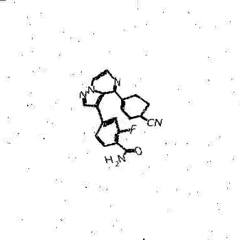 N#CC1CC=C(c2nccn3ncc(-c4ccc(C(N)=O)c(F)c4)c23)CC1